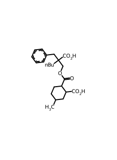 CCCCC(COC(=O)C1CCC(C)CC1C(=O)O)(Cc1ccccc1)C(=O)O